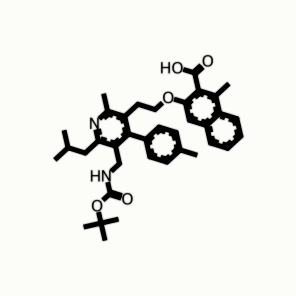 Cc1ccc(-c2c(CCOc3cc4ccccc4c(C)c3C(=O)O)c(C)nc(CC(C)C)c2CNC(=O)OC(C)(C)C)cc1